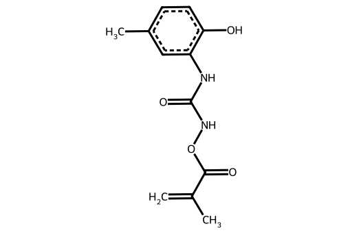 C=C(C)C(=O)ONC(=O)Nc1cc(C)ccc1O